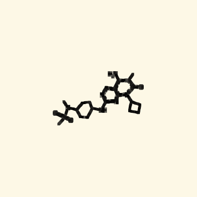 Cc1c(N)c2cnc(NC3CCC(N(C)S(C)(=O)=O)CC3)nc2n(C2CCC2)c1=O